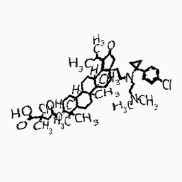 CC(C)C1=C2[C@H]3CC[C@@H]4[C@@]5(C)CC[C@H](OC(=O)CC(C)(C)C(=O)O)C(C)(C)C5CC[C@@]4(C)[C@]3(C)CC[C@@]2(CCN(CCN(C)C)C2(c3ccc(Cl)cc3)CC2)CC1=O